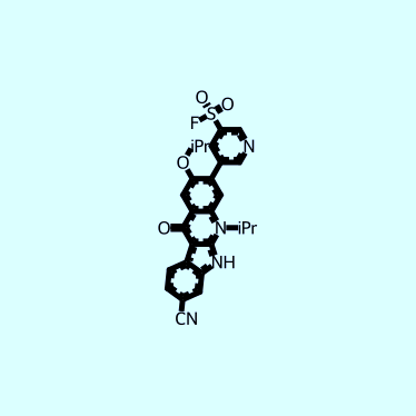 CC(C)Oc1cc2c(=O)c3c4ccc(C#N)cc4[nH]c3n(C(C)C)c2cc1-c1cncc(S(=O)(=O)F)c1